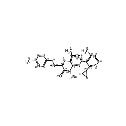 C=C(/N=C1\C(=C(C)C)N=C(NCc2ccc(C)nc2)C(=O)N1[C@@H](C)CC)c1c(C)ncnc1C1CC1